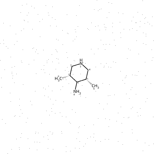 C[C@@H]1CNC[C@H](C)C1N